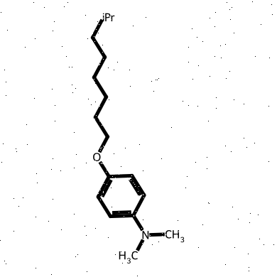 CC(C)CCCCCCOc1ccc(N(C)C)cc1